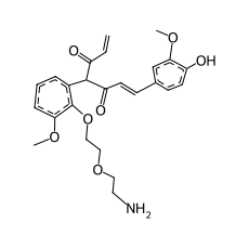 C=CC(=O)C(C(=O)C=Cc1ccc(O)c(OC)c1)c1cccc(OC)c1OCCOCCN